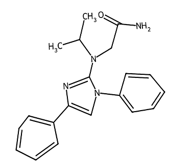 CC(C)N(CC(N)=O)c1nc(-c2ccccc2)cn1-c1ccccc1